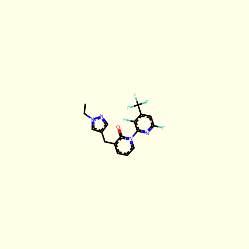 CCn1cc(Cc2cccn(-c3nc(F)cc(C(F)(F)F)c3F)c2=O)cn1